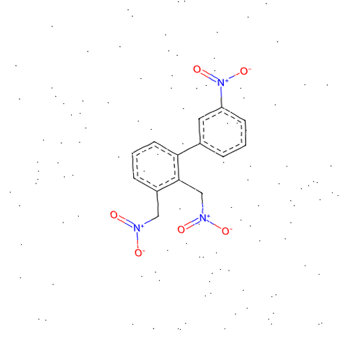 O=[N+]([O-])Cc1cccc(-c2cccc([N+](=O)[O-])c2)c1C[N+](=O)[O-]